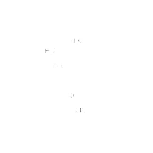 CNc1c(C)cccc1OC